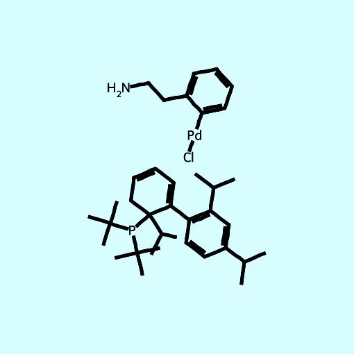 CC(C)c1ccc(C2=CC=CCC2(C(C)C)P(C(C)(C)C)C(C)(C)C)c(C(C)C)c1.NCCc1cccc[c]1[Pd][Cl]